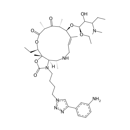 CCO[C@@H](O[C@H]1/C(C)=C/CN[C@H](C)[C@H]2N(CCCCn3cc(-c4cccc(N)c4)nn3)C(=O)O[C@]2(C)[C@@H](CC)OC(=O)[C@H](C)C(=O)[C@@H]1C)C(O)C(CC)N(C)C